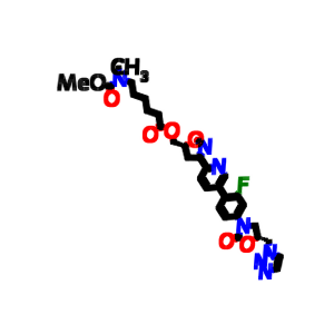 COC(=O)N(C)CCCCCC(=O)OC[C@@H]1CC(c2ccc(-c3ccc(N4C[C@H](Cn5ccnn5)OC4=O)cc3F)cn2)=NO1